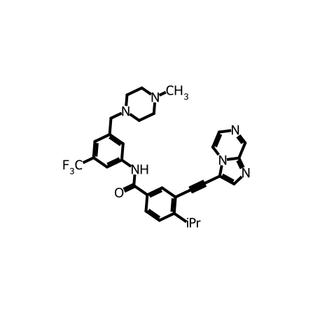 CC(C)c1ccc(C(=O)Nc2cc(CN3CCN(C)CC3)cc(C(F)(F)F)c2)cc1C#Cc1cnc2cnccn12